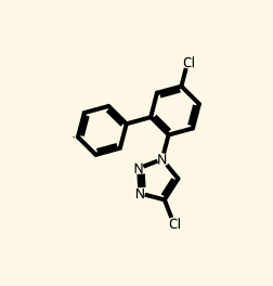 Clc1ccc(-n2cc(Cl)nn2)c(-c2cc[c]cc2)c1